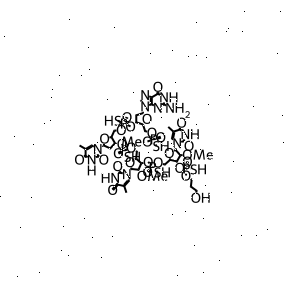 COC1C(OP(=O)(S)OCCCO)C(COP(=O)(S)OC2C(COP(=O)(S)O[C@@H]3C[C@H](n4cc(C)c(=O)[nH]c4=O)OC3COP(=O)(S)O[C@@H]3C[C@H](n4cnc5c(=O)[nH]c(N)nc54)OC3COP(=O)(S)OC)OC(n3cc(C)c(=O)[nH]c3=O)C2OC)OC1n1cc(C)c(=O)[nH]c1=O